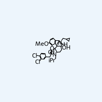 COc1ccc2c3c1O[C@H]1[C@@H](N(CC(C)C)C(=O)Cc4ccc(Cl)c(Cl)c4)CC[C@@]4(O)[C@@H](C2)N(CC2CC2)CC[C@]314